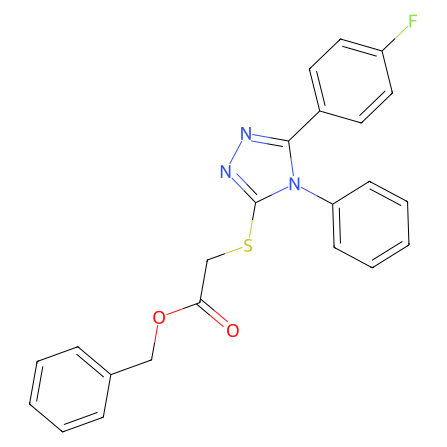 O=C(CSc1nnc(-c2ccc(F)cc2)n1-c1ccccc1)OCc1ccccc1